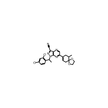 CC(c1ccc(Cl)cc1Cl)n1nc(C#N)c2ncc(C3=CCC4(OCCO4)C(C)C3)nc21